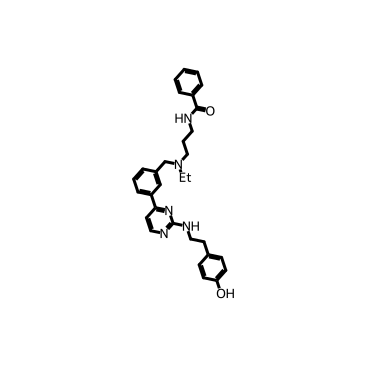 CCN(CCCNC(=O)c1ccccc1)Cc1cccc(-c2ccnc(NCCc3ccc(O)cc3)n2)c1